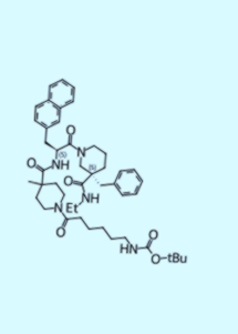 CCNC(=O)[C@]1(Cc2ccccc2)CCCN(C(=O)[C@H](Cc2ccc3ccccc3c2)NC(=O)C2(C)CCN(C(=O)CCCCCNC(=O)OC(C)(C)C)CC2)C1